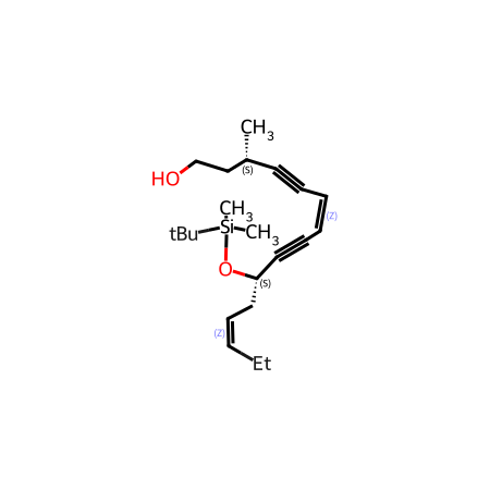 CC/C=C\C[C@@H](C#C/C=C\C#C[C@@H](C)CCO)O[Si](C)(C)C(C)(C)C